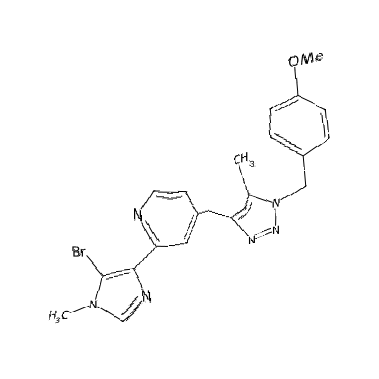 COc1ccc(Cn2nnc(-c3ccnc(-c4ncn(C)c4Br)c3)c2C)cc1